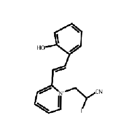 N#CC(I)C[n+]1ccccc1C=Cc1ccccc1O